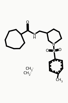 Cc1ccc(S(=O)(=O)N2CCCC(CNC(=O)[C]3CCCCCCC3)C2)cc1.[CH2].[CH2]